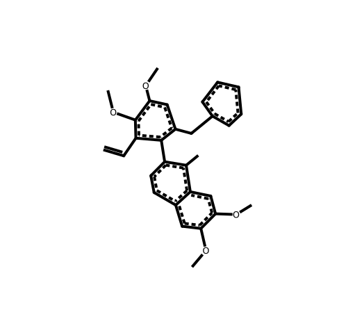 C=Cc1c(OC)c(OC)cc(Cc2ccccc2)c1-c1ccc2cc(OC)c(OC)cc2c1C